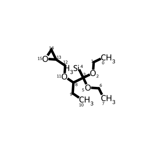 CCOC([SiH3])(OCC)C(CC)OCC1CO1